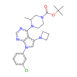 CC1CN(C(=O)OC(C)(C)C)CCN1c1ncnc2c1c(N1CCC1)cn2-c1cccc(Cl)c1